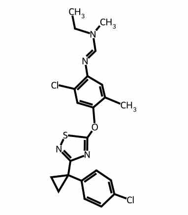 CCN(C)C=Nc1cc(C)c(Oc2nc(C3(c4ccc(Cl)cc4)CC3)ns2)cc1Cl